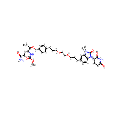 C[C@@H](OCc1ccc(CCCOCCOCCCc2ccc3c(c2)n(C)c(=O)n3C2CCC(=O)NC2=O)cc1)[C@H](CCC(N)=O)NC(=O)OC(C)(C)C